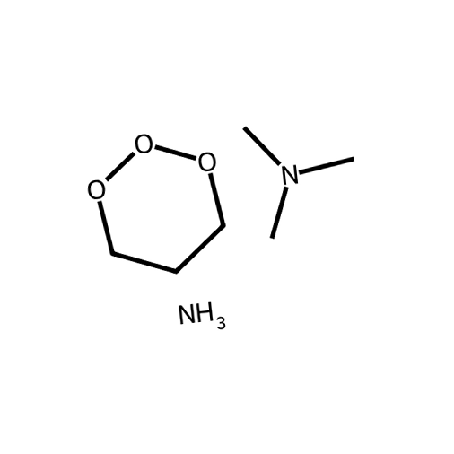 C1COOOC1.CN(C)C.N